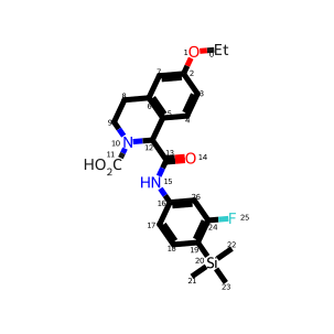 CCOc1ccc2c(c1)CCN(C(=O)O)C2C(=O)Nc1ccc([Si](C)(C)C)c(F)c1